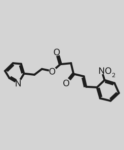 O=C(C=Cc1ccccc1[N+](=O)[O-])CC(=O)OCCc1ccccn1